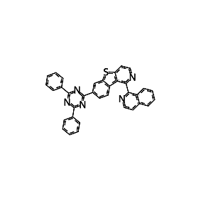 c1ccc(-c2nc(-c3ccccc3)nc(-c3ccc4c(c3)sc3ccnc(-c5nccc6ccccc56)c34)n2)cc1